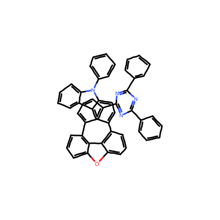 c1ccc(-c2nc(-c3ccccc3)nc(-c3cccc(-c4cccc5oc6cccc(-c7ccc8c(c7)c7ccccc7n8-c7ccccc7)c6c45)c3)n2)cc1